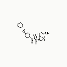 N#C[C@H]1CO[C@@H]2[C@@H]1OC[C@H]2NC(=O)Nc1ccc(OCc2ccccc2)cc1